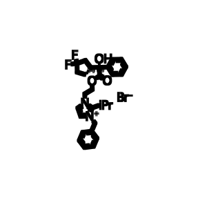 CC(C)c1n(CCOC(=O)[C@](O)(c2ccccc2)[C@@H]2CCC(F)(F)C2)cc[n+]1Cc1ccccc1.[Br-]